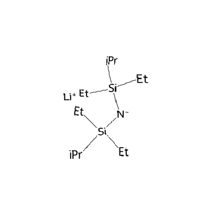 CC[Si](CC)([N-][Si](CC)(CC)C(C)C)C(C)C.[Li+]